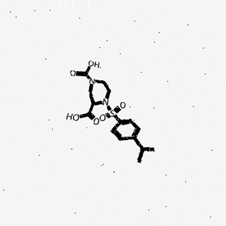 CC(C)c1ccc(S(=O)(=O)N2CCN(C(=O)O)CC2C(=O)O)cc1